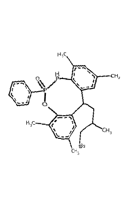 Cc1cc(C)c2c(c1)C(CC(C)CC(C)(C)C)c1cc(C)cc(C)c1PP(=O)(c1ccccc1)O2